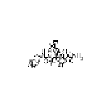 CCC(CN1C[C@@H](C)N(C)[C@@H](C)C1)NC(=O)N[C@@H](C(=O)N1C[C@]2(C[C@H]1C(=O)NC(CC1CCC1)C(=O)C(N)=O)C(C)(C)C21CCC1)C(C)(C)C